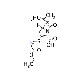 CCOC(=O)/C=C\SC1=C(C(=O)O)N2C(=O)[C@@H]([C@H](C)O)[C@H]2C1